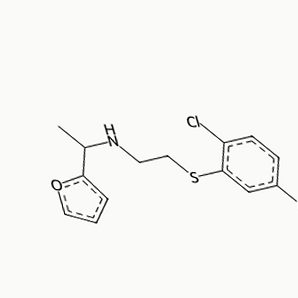 CC(NCCSc1cc(Cl)ccc1Cl)c1ccco1